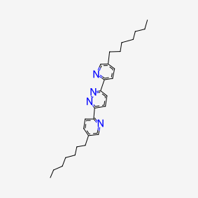 CCCCCCCc1ccc(-c2ccc(-c3ccc(CCCCCCC)cn3)nn2)nc1